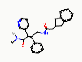 CC(C)N(C(=O)C(c1cccnc1)C(CNC(=O)CC1Cc2ccccc2C1)c1ccccc1)C(C)C